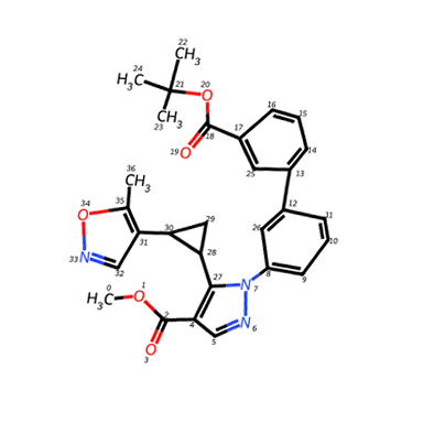 COC(=O)c1cnn(-c2cccc(-c3cccc(C(=O)OC(C)(C)C)c3)c2)c1C1CC1c1cnoc1C